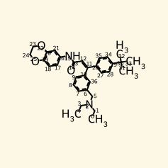 CCN(CC)Cc1cccc(/C(=C\C(=O)Nc2ccc3c(c2)OCCO3)c2ccc(C(C)(C)C)cc2)c1